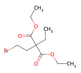 CCOC(=O)C(CC)(CCBr)C(=O)OCC